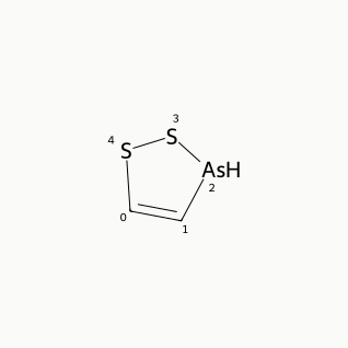 C1=C[AsH]SS1